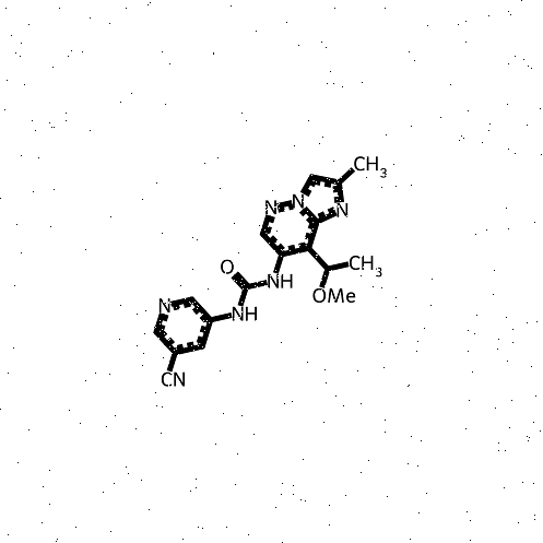 COC(C)c1c(NC(=O)Nc2cncc(C#N)c2)cnn2cc(C)nc12